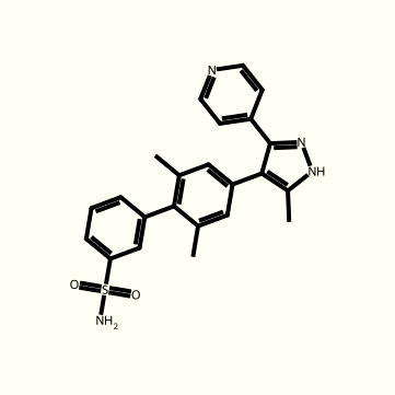 Cc1cc(-c2c(-c3ccncc3)n[nH]c2C)cc(C)c1-c1cccc(S(N)(=O)=O)c1